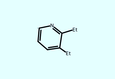 CCc1cc[c]nc1CC